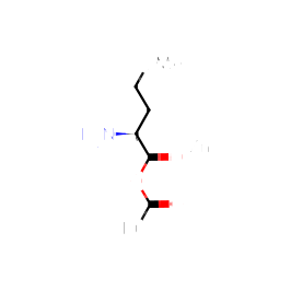 CCC(=O)OC(=O)[C@@H](N)CCSC.[Zn]